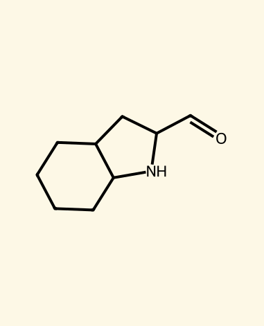 O=CC1CC2CCCCC2N1